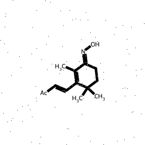 CC(=O)C=CC1=C(C)C(=NO)CCC1(C)C